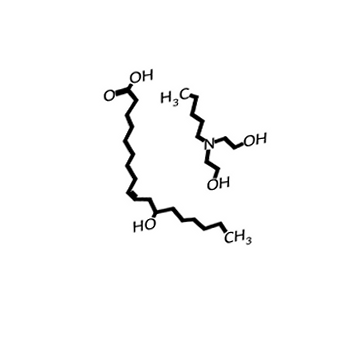 CCCCCCC(O)C/C=C\CCCCCCCC(=O)O.CCCCCN(CCO)CCO